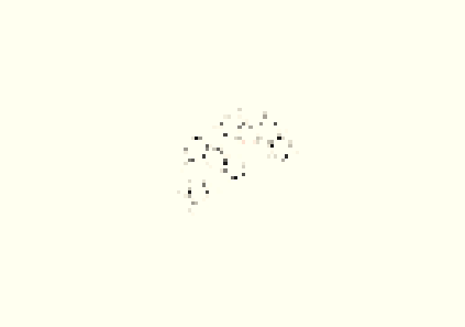 [2H]c1c([2H])c([2H])c(-c2c3ccccc3c(-c3cccc4c3oc3c5ccccc5ccc43)c3ccccc23)c([2H])c1[2H]